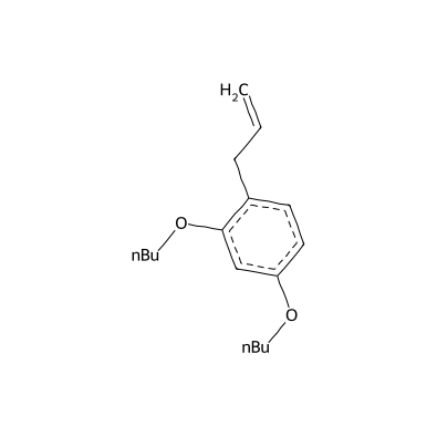 C=CCc1ccc(OCCCC)cc1OCCCC